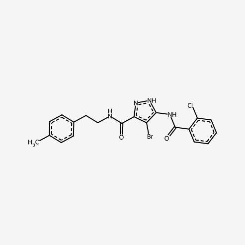 Cc1ccc(CCNC(=O)c2n[nH]c(NC(=O)c3ccccc3Cl)c2Br)cc1